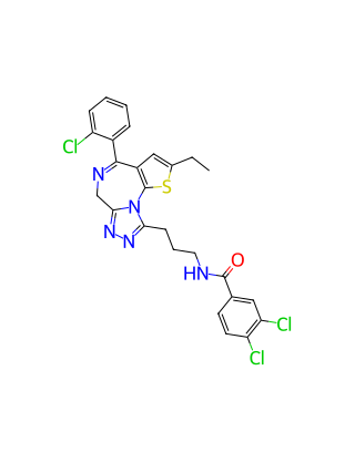 CCc1cc2c(s1)-n1c(CCCNC(=O)c3ccc(Cl)c(Cl)c3)nnc1CN=C2c1ccccc1Cl